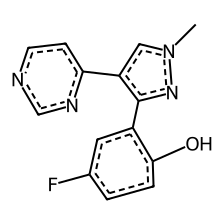 Cn1cc(-c2ccncn2)c(-c2cc(F)ccc2O)n1